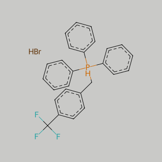 Br.FC(F)(F)c1ccc(C[PH](c2ccccc2)(c2ccccc2)c2ccccc2)cc1